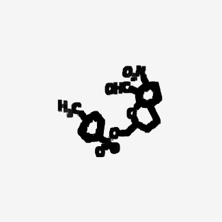 Cc1ccc(S(=O)(=O)OCC2CCc3ccc([N+](=O)[O-])c(C=O)c3O2)cc1